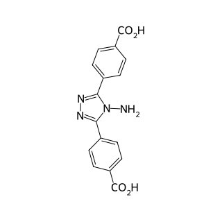 Nn1c(-c2ccc(C(=O)O)cc2)nnc1-c1ccc(C(=O)O)cc1